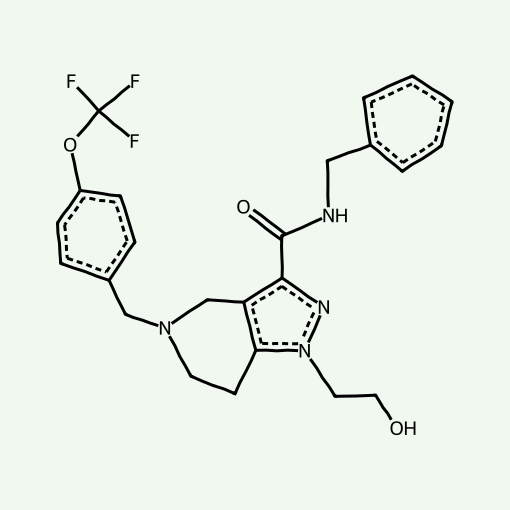 O=C(NCc1ccccc1)c1nn(CCO)c2c1CN(Cc1ccc(OC(F)(F)F)cc1)CC2